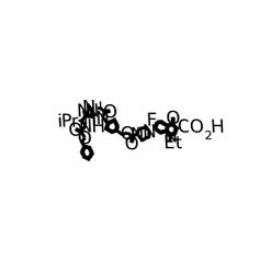 CCn1cc(C(=O)O)c(=O)c2cc(F)c(N3CCN(C(=O)OCc4ccc(NC(=O)[C@H](C)n5cc([C@@H](NC(=O)OCc6ccccc6)C(C)C)nn5)cc4)CC3)cc21